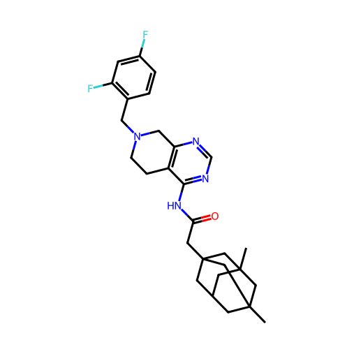 CC12CC3CC(C)(C1)CC(CC(=O)Nc1ncnc4c1CCN(Cc1ccc(F)cc1F)C4)(C3)C2